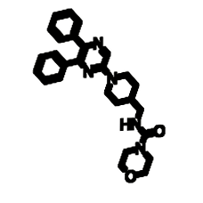 O=C(NCC1CCN(c2cnc(-c3ccccc3)c(-c3ccccc3)n2)CC1)N1CCOCC1